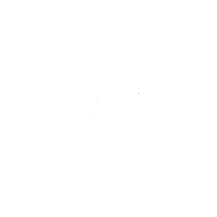 CC(=S)SC(C)(C#N)CC(=O)O